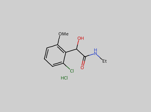 CCNC(=O)C(O)c1c(Cl)cccc1OC.Cl